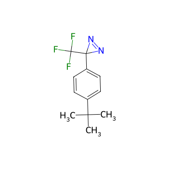 CC(C)(C)c1ccc(C2(C(F)(F)F)N=N2)cc1